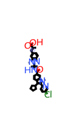 C/C(=C\c1ccc2nc(C(C)(C)NC(=O)c3ccc4c(C5CCCC5)c(-c5ccc(Cl)cn5)n(C)c4c3)n(C)c2c1)C(=O)O